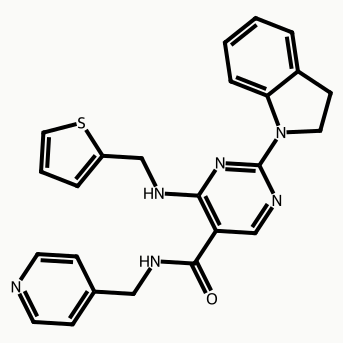 O=C(NCc1ccncc1)c1cnc(N2CCc3ccccc32)nc1NCc1cccs1